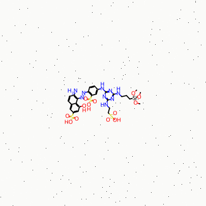 CO[Si](CCCNc1nc(NCCS(=O)(=O)O)nc(Nc2ccc(/N=N/c3c(N)ccc4cc(S(=O)(=O)O)cc(O)c34)c(S(=O)(=O)O)c2)n1)(OC)OC